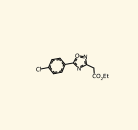 CCOC(=O)Cc1noc(-c2ccc(Cl)cc2)n1